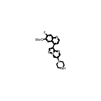 COc1cc2c(-c3cnn4cc(N5CCNCC5)cnc34)ccnc2cc1F